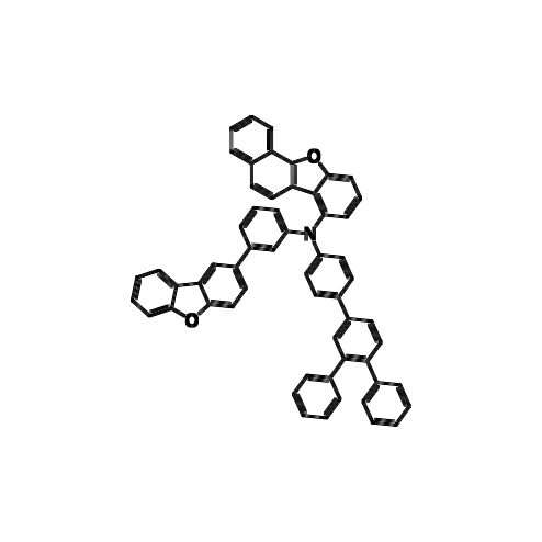 c1ccc(-c2ccc(-c3ccc(N(c4cccc(-c5ccc6oc7ccccc7c6c5)c4)c4cccc5oc6c7ccccc7ccc6c45)cc3)cc2-c2ccccc2)cc1